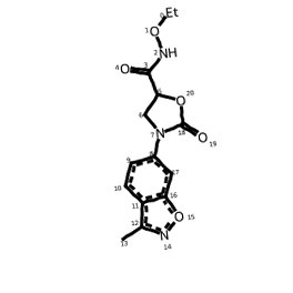 CCONC(=O)C1CN(c2ccc3c(C)noc3c2)C(=O)O1